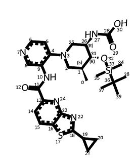 C[C@H]1CN(c2ccncc2NC(=O)c2ccc3sc(C4CC4)nc3n2)C[C@@H](NC(=O)O)[C@@H]1O[Si](C)(C)C(C)(C)C